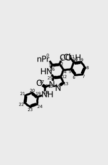 CCCC1=C(C(=O)O)C(c2ccccc2Cl)c2cnn(C(=O)Nc3ccccc3)c2N1